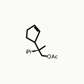 CC(=O)OC[C@](C)(C(C)C)C1C=CCC1